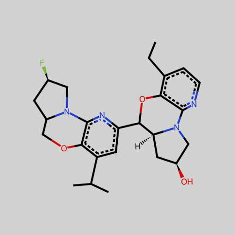 CCc1ccnc2c1OC(c1cc(C(C)C)c3c(n1)N1C[C@H](F)CC1CO3)[C@@H]1C[C@H](O)CN21